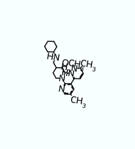 CO[C@H]1CN(c2ncc(C)cc2C(=N)/C=C\C(C)N)CCC1CNC1CCCCC1